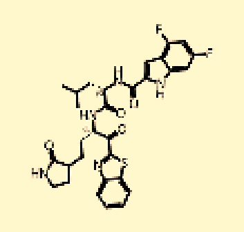 CC(C)C[C@H](NC(=O)c1cc2c(F)cc(F)cc2[nH]1)C(=O)N[C@@H](CCC1CCNC1=O)C(=O)c1nc2ccccc2s1